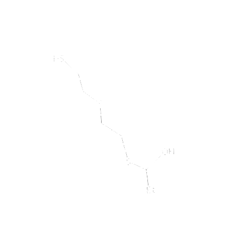 CCC(O)SCCSCCS